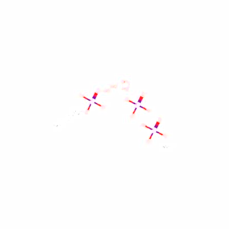 O.O=P([O-])([O-])[O-].O=P([O-])([O-])[O-].O=P([O-])([O-])[O-].[Al+3].[Ca+2].[Fe+3].[Mg+2].[Mn+2].[OH-].[OH-].[OH-]